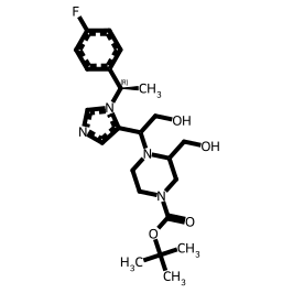 C[C@H](c1ccc(F)cc1)n1cncc1C(CO)N1CCN(C(=O)OC(C)(C)C)CC1CO